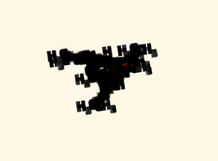 CN(C)CCCOc1ccc2nc(-c3ccc(-c4nc5ccc(OCCCN(C)C)cc5[nH]4)c(OCC(=O)N(C)CCN(C)C(=O)COc4cc(-c5nc6ccc(OCCCN(C)C)cc6[nH]5)ccc4-c4nc5ccc(OCCCN(C)C)cc5[nH]4)c3)[nH]c2c1